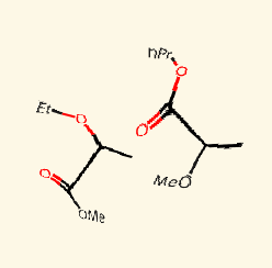 CCCOC(=O)C(C)OC.CCOC(C)C(=O)OC